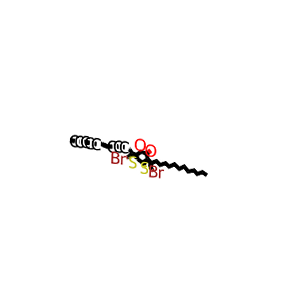 C=C=C=C=C=C=C=C=C=C=C=Cc1c(Br)sc2c1C(=O)C(=O)c1c-2sc(Br)c1CCCCCCCCCCCC